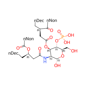 CCCCCCCCCCC[C@H](CC(=O)N[C@H]1[C@@H](OC(=O)C[C@@H](CCCCCCCCCCC)C(=O)CCCCCCCCC)[C@H](OP(=O)(O)O)[C@@H](CO)O[C@@H]1O)OC(=O)CCCCCCCCC